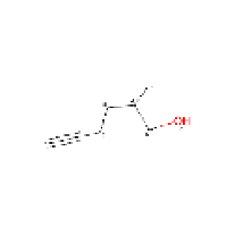 [C]#CCCC(C)CO